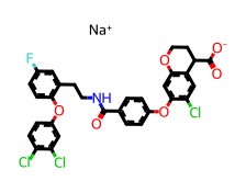 O=C(NCCc1cc(F)ccc1Oc1ccc(Cl)c(Cl)c1)c1ccc(Oc2cc3c(cc2Cl)C(C(=O)[O-])CCO3)cc1.[Na+]